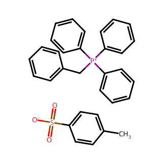 Cc1ccc(S(=O)(=O)[O-])cc1.c1ccc(C[P+](c2ccccc2)(c2ccccc2)c2ccccc2)cc1